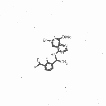 COc1nc(Br)cc2c(NC(C)c3cccc(C(F)F)c3F)ncnc12